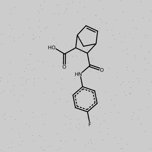 O=C(O)C1C2C=CC(C2)C1C(=O)Nc1ccc(F)cc1